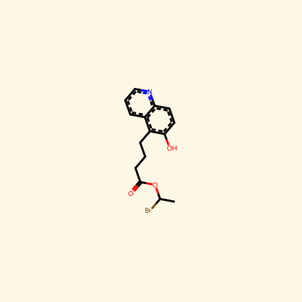 CC(Br)OC(=O)CCCc1c(O)ccc2ncccc12